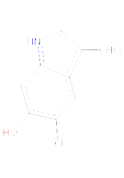 O=Cc1c[nH]c2cc(O)c(Cl)cc12